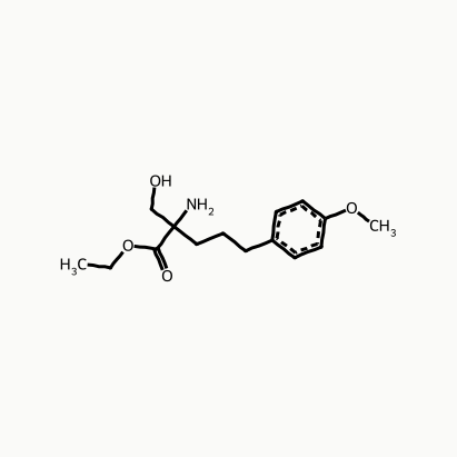 CCOC(=O)C(N)(CO)CCCc1ccc(OC)cc1